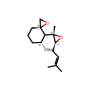 CO[C@@H]1CCC[C@]2(CO2)C1[C@]1(C)O[C@H]1CC=C(C)C